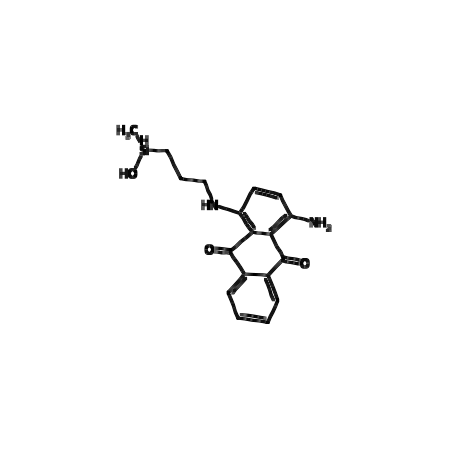 C[SiH](O)CCCNc1ccc(N)c2c1C(=O)c1ccccc1C2=O